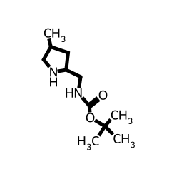 CC1CNC(CNC(=O)OC(C)(C)C)C1